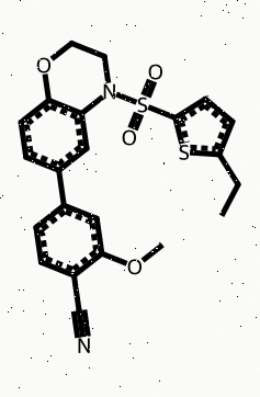 CCc1ccc(S(=O)(=O)N2CCOc3ccc(-c4ccc(C#N)c(OC)c4)cc32)s1